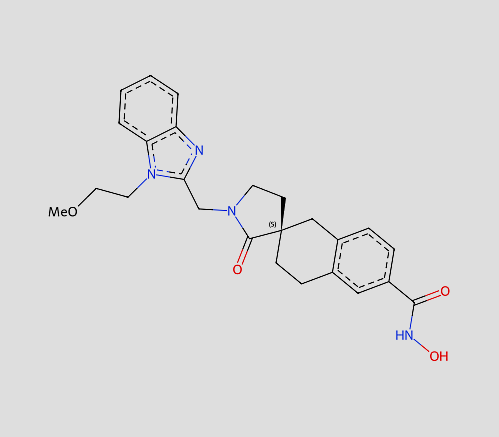 COCCn1c(CN2CC[C@@]3(CCc4cc(C(=O)NO)ccc4C3)C2=O)nc2ccccc21